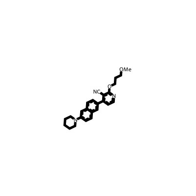 COCCCOc1nccc(-c2ccc3cc(N4CCCCC4)ccc3c2)c1C#N